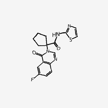 O=C(Nc1nccs1)C1(n2cnc3ccc(F)cc3c2=O)CCCC1